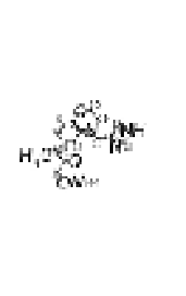 COCC(=O)N(C)c1ccc2c(c1)N(Cc1c[nH]cn1)CCO2